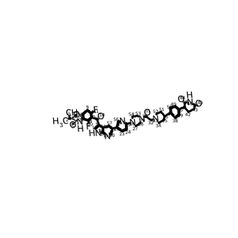 CC(C)S(=O)(=O)Nc1ccc(F)c(C(=O)c2c[nH]c3ncc(-c4ccc(N5CCN(C(=O)CN6CCC(c7ccc(C8CCC(=O)NC8=O)cc7)CC6)CC5)nc4)cc23)c1F